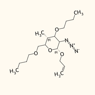 C=CCO[C@@H]1OC(COCCCC)[C@H](C)C(OCCCC)C1N=[N+]=[N-]